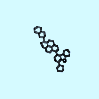 c1ccc(-c2ccc(-c3ccc4ccc5c(-c6ccc7ccccc7c6)ccc6ccc3c4c65)c3c2oc2ccccc23)cc1